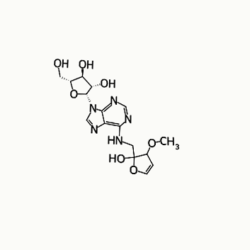 COC1C=COC1(O)CNc1ncnc2c1ncn2[C@@H]1O[C@H](CO)[C@@H](O)[C@@H]1O